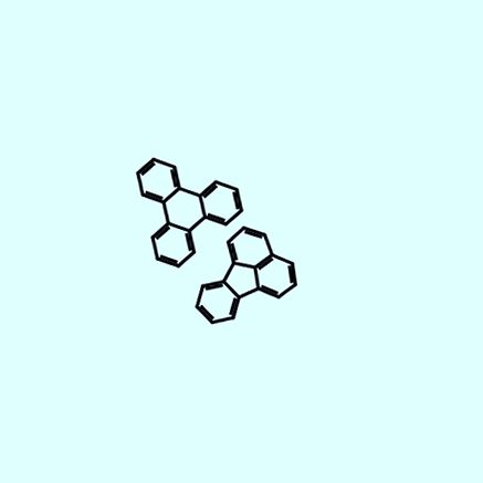 c1ccc2c(c1)-c1cccc3cccc-2c13.c1ccc2c(c1)c1ccccc1c1ccccc21